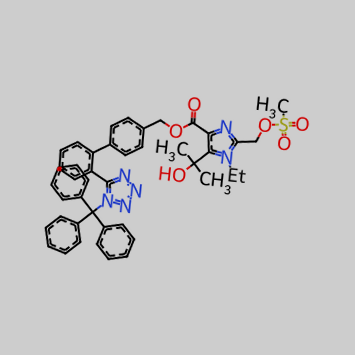 CCn1c(COS(C)(=O)=O)nc(C(=O)OCc2ccc(-c3ccccc3-c3nnnn3C(c3ccccc3)(c3ccccc3)c3ccccc3)cc2)c1C(C)(C)O